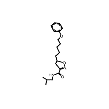 CC(C)CNC(=O)C1=NOC(CCCCCOc2ccccc2)C1